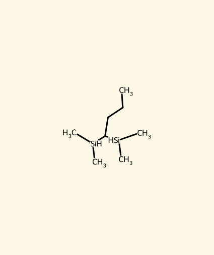 CCCC([SiH](C)C)[SiH](C)C